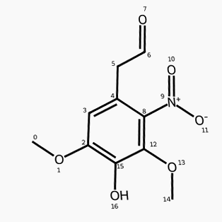 COc1cc(CC=O)c([N+](=O)[O-])c(OC)c1O